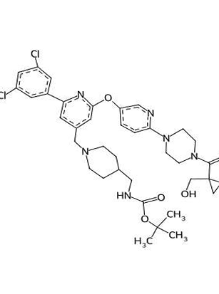 CC(C)(C)OC(=O)NCC1CCN(Cc2cc(Oc3ccc(N4CCN(C(=O)C5(CO)CC5)CC4)nc3)nc(-c3cc(Cl)cc(Cl)c3)c2)CC1